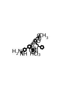 COC(=O)C[C@@H]1C[C@@H](COc2ccc(-c3ccc(C(=N)N)cc3)cc2NS(C)(=O)=O)N(CCCc2ccccc2)C1=O.Cl